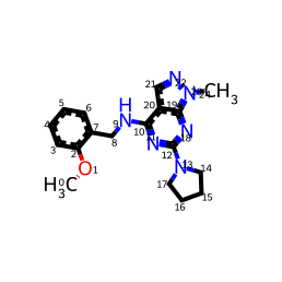 COc1ccccc1CNc1nc(N2CCCC2)nc2c1cnn2C